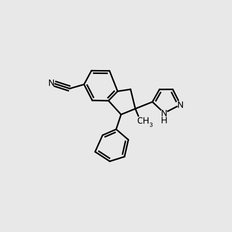 CC1(c2ccn[nH]2)Cc2ccc(C#N)cc2C1c1ccccc1